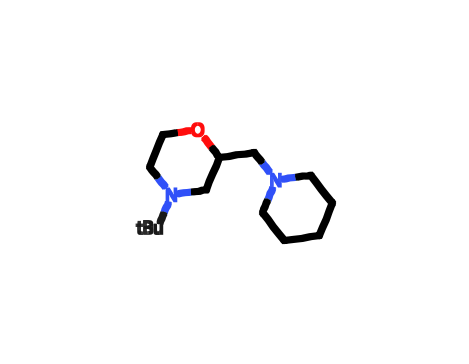 CC(C)(C)N1CCOC(CN2CCCCC2)C1